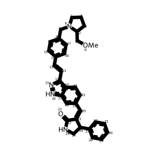 COCC1CCCN1Cc1ccc(/C=C/c2n[nH]c3cc(C=C4C(=O)NCC4c4ccccc4)ccc23)cc1